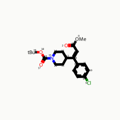 COC(=O)/C=C(/c1ccc(Cl)cc1)C1CCN(C(=O)OC(C)(C)C)CC1